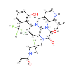 C=CC(=O)N1CC(F)(Cn2c(=O)c(=O)n(-c3c(C)ccnc3C(C)C)c3nc(-c4c(O)cccc4C(F)(F)F)c(Cl)cc32)C1